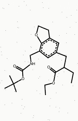 CCOC(=O)C(CC)Cc1cc2c(c(CNC(=O)OC(C)(C)C)c1)OCC2